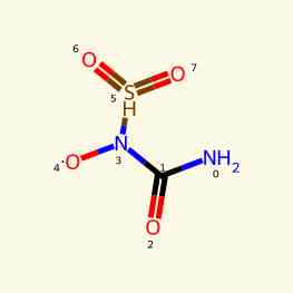 NC(=O)N([O])[SH](=O)=O